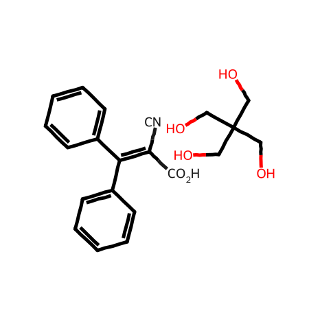 N#CC(C(=O)O)=C(c1ccccc1)c1ccccc1.OCC(CO)(CO)CO